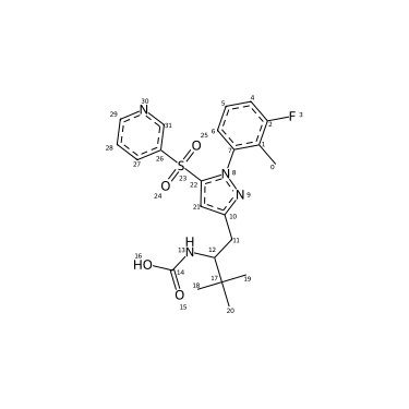 Cc1c(F)cccc1-n1nc(CC(NC(=O)O)C(C)(C)C)cc1S(=O)(=O)c1cccnc1